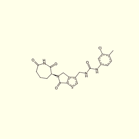 Cc1ccc(NC(=O)NCc2csc3c2CN([C@H]2CCCC(=O)NC2=O)C3=O)cc1Cl